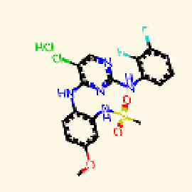 COc1ccc(Nc2nc(Nc3cccc(F)c3F)ncc2Cl)c(NS(C)(=O)=O)c1.Cl